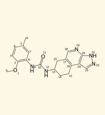 COc1ccc(C)cc1NC(=O)NC1CCc2c(cnc3[nH]ncc23)C1